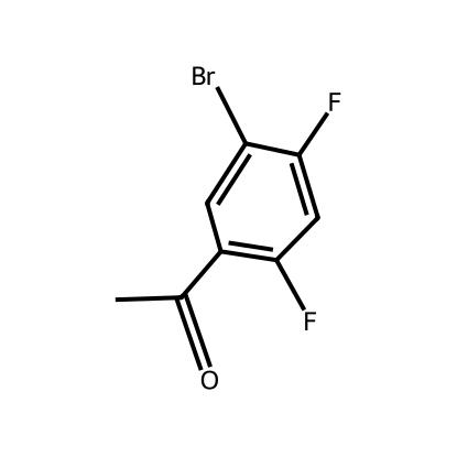 CC(=O)c1cc(Br)c(F)cc1F